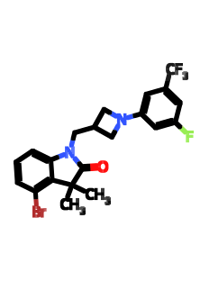 CC1(C)C(=O)N(CC2CN(c3cc(F)cc(C(F)(F)F)c3)C2)c2cccc(Br)c21